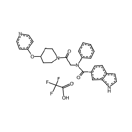 O=C(CN(C(=O)c1ccc2cc[nH]c2c1)c1ccccc1)N1CCC(Oc2ccncc2)CC1.O=C(O)C(F)(F)F